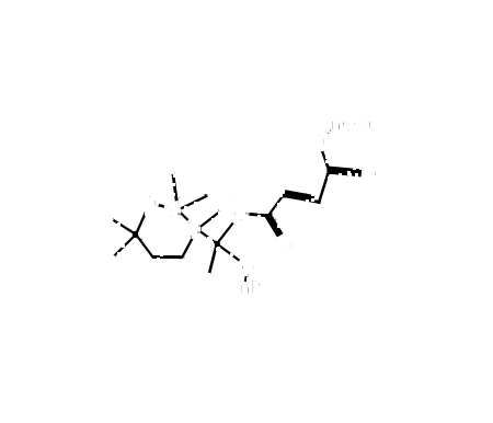 CCCCCCCCOC(=O)C=CC(=O)OC(C)(OCCC)[Si]1(C)CCC(C)(C)O[Si]1(C)C